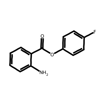 Nc1ccccc1C(=O)Oc1ccc(F)cc1